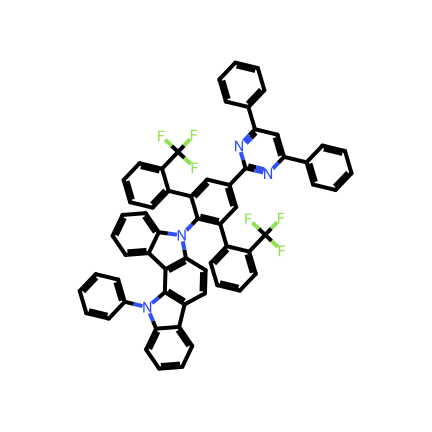 FC(F)(F)c1ccccc1-c1cc(-c2nc(-c3ccccc3)cc(-c3ccccc3)n2)cc(-c2ccccc2C(F)(F)F)c1-n1c2ccccc2c2c1ccc1c3ccccc3n(-c3ccccc3)c12